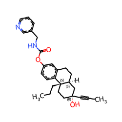 CC#C[C@@]1(O)CC[C@]2(CCC)c3ccc(OC(=O)NCc4cccnc4)cc3CC[C@H]2C1